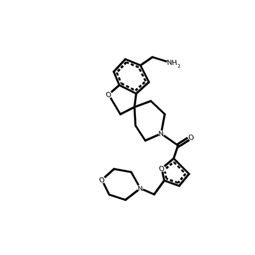 NCc1ccc2c(c1)C1(CCN(C(=O)c3ccc(CN4CCOCC4)o3)CC1)CO2